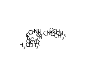 CC(C)(C)OC(=O)N1CC=C(c2nc(Nc3ccc4ccn(C(=O)OC(C)(C)C)c4c3)cc(-c3ccccc3)n2)CC1